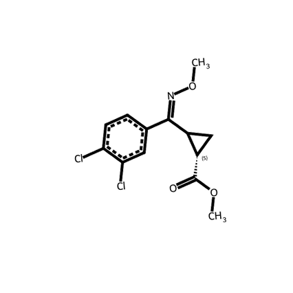 CON=C(c1ccc(Cl)c(Cl)c1)C1C[C@@H]1C(=O)OC